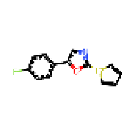 Fc1ccc(-c2cnc([SH]3C=CC=C3)o2)cc1